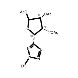 CCn1nnc([C@@H]2OC(OC(C)=O)[C@H](OC(C)=O)[C@@H]2OC(C)=O)n1